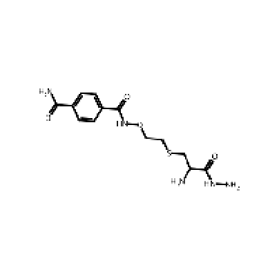 NNC(=O)C(N)CSCCONC(=O)c1ccc(C(N)=O)cc1